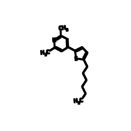 CCCCCCc1ccc(-c2cc(C)nc(C)c2)s1